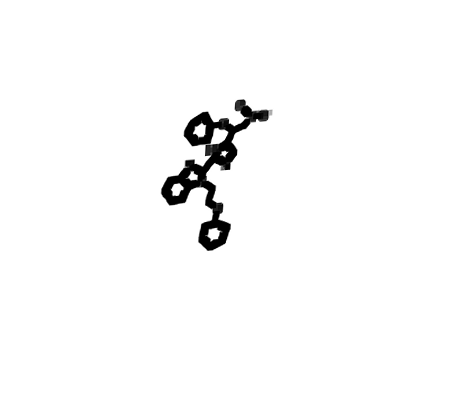 O=[N+]([O-])CC(Oc1ccccc1)c1cnc(-c2nc3ccccc3n2CCOc2ccccc2)[nH]1